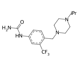 CC(C)N1CCN(Cc2ccc(NC(N)=O)cc2C(F)(F)F)CC1